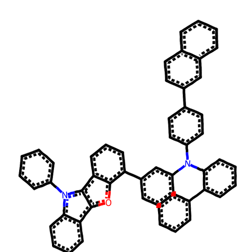 c1ccc(-c2ccccc2N(c2ccc(-c3ccc4ccccc4c3)cc2)c2cccc(-c3cccc4c3oc3c5ccccc5n(-c5ccccc5)c43)c2)cc1